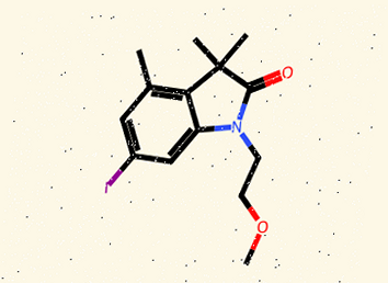 COCCN1C(=O)C(C)(C)c2c(C)cc(I)cc21